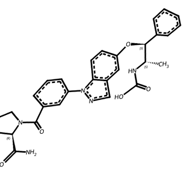 C[C@H](NC(=O)O)[C@@H](Oc1ccc2c(cnn2-c2cccc(C(=O)N3CCC[C@@H]3C(N)=O)c2)c1)c1ccccc1